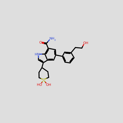 NC(=O)c1cc(-c2cccc(CCO)c2)cc2c(C3CCS(O)(O)CC3)c[nH]c12